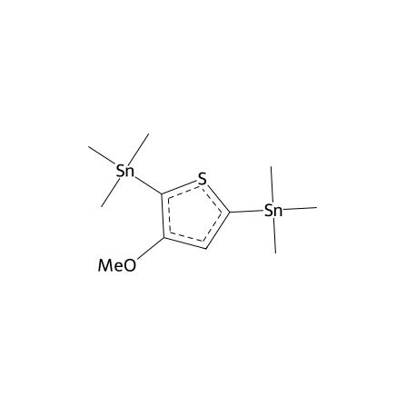 COc1c[c]([Sn]([CH3])([CH3])[CH3])s[c]1[Sn]([CH3])([CH3])[CH3]